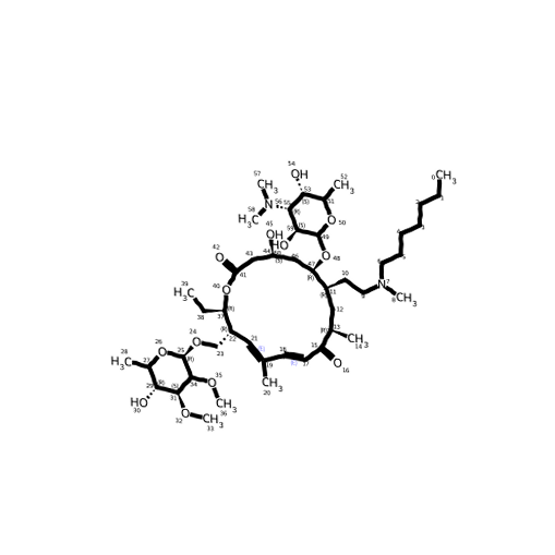 CCCCCCCN(C)CC[C@H]1C[C@@H](C)C(=O)/C=C/C(C)=C/[C@H](CO[C@@H]2OC(C)[C@@H](O)[C@H](OC)C2OC)[C@@H](CC)OC(=O)C[C@@H](O)C[C@H]1OC1OC(C)[C@@H](O)[C@@H](N(C)C)[C@@H]1O